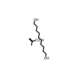 C=C(C)C(=O)O.OCCCCCCCCCCO